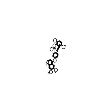 COc1ccc(OC)c(CN(C(=O)O)c2ccc(Oc3ccnc4cc(OC)c(OC)cc34)cc2)c1